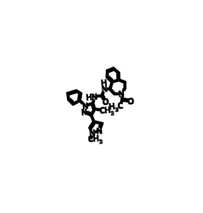 CC(=O)N1CCc2ccccc2C(NC(=O)Nc2c(C)c(-c3cnn(C)c3)nn2-c2ccccc2)C1